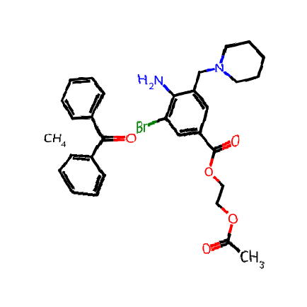 C.CC(=O)OCCOC(=O)c1cc(Br)c(N)c(CN2CCCCC2)c1.O=C(c1ccccc1)c1ccccc1